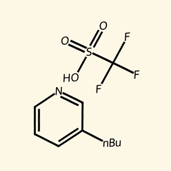 CCCCc1cccnc1.O=S(=O)(O)C(F)(F)F